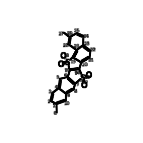 Cc1ccc2cc3c(cc2c1)S(=O)(=O)C1=C3S(=O)(=O)c2c1ccc1ccc(C)cc21